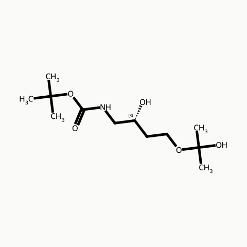 CC(C)(C)OC(=O)NC[C@H](O)CCOC(C)(C)O